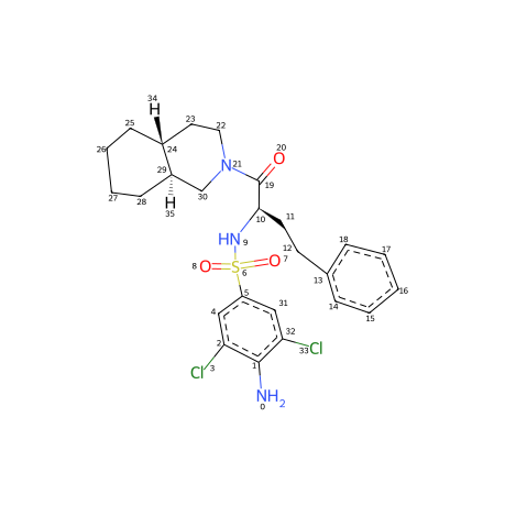 Nc1c(Cl)cc(S(=O)(=O)N[C@H](CCc2ccccc2)C(=O)N2CC[C@H]3CCCC[C@@H]3C2)cc1Cl